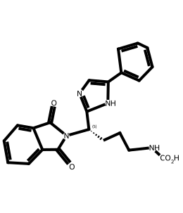 O=C(O)NCCC[C@@H](c1ncc(-c2ccccc2)[nH]1)N1C(=O)c2ccccc2C1=O